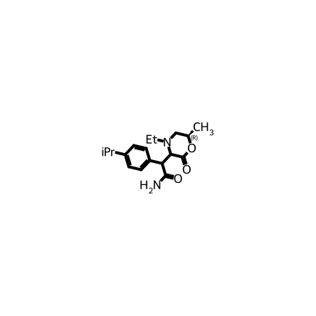 CCN1C[C@@H](C)OC(=O)C1C(C(N)=O)c1ccc(C(C)C)cc1